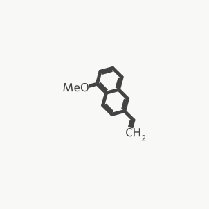 C=Cc1ccc2c(OC)cccc2c1